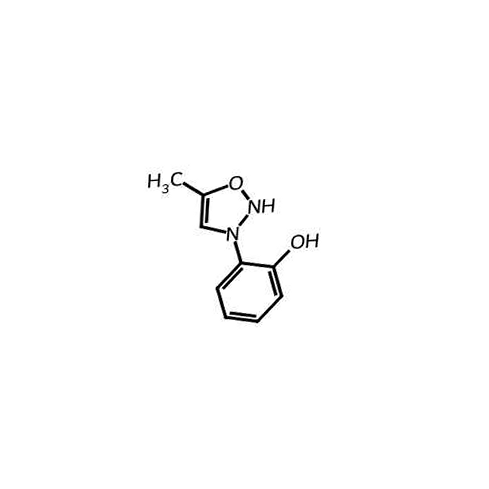 CC1=CN(c2ccccc2O)NO1